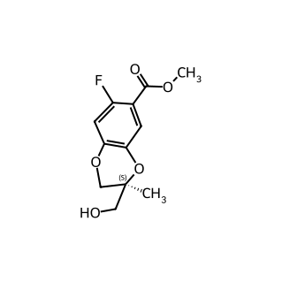 COC(=O)c1cc2c(cc1F)OC[C@](C)(CO)O2